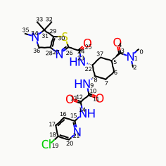 CN(C)C(=O)[C@H]1CC[C@H](NC(=O)C(=O)Nc2ccc(Cl)cn2)[C@H](NC(=O)c2nc3c(s2)C(C)(C)N(C)C3)C1